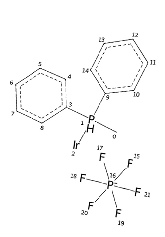 C[PH]([Ir])(c1ccccc1)c1ccccc1.F[P-](F)(F)(F)(F)F